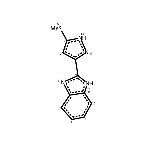 CSc1cc(-c2nc3ccccc3[nH]2)n[nH]1